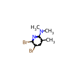 Cc1cc(Br)c(Br)nc1N(C)C